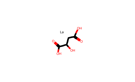 O=C(O)CC(O)C(=O)O.[La]